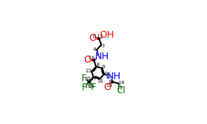 O=C(O)CCNC(=O)c1cc(NC(=O)CCl)cc(C(F)(F)F)c1